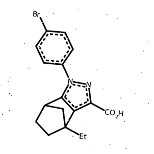 CCC12CCC(C1)c1c2c(C(=O)O)nn1-c1ccc(Br)cc1